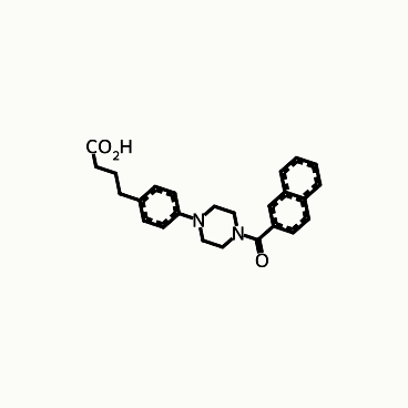 O=C(O)CCCc1ccc(N2CCN(C(=O)c3ccc4ccccc4c3)CC2)cc1